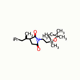 C=C(CC(C)C)C1CC(=O)N(CC[Si](C)(C)O[Si](C)(C)C)C1=O